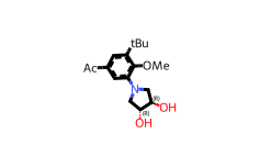 COc1c(N2C[C@@H](O)[C@H](O)C2)cc(C(C)=O)cc1C(C)(C)C